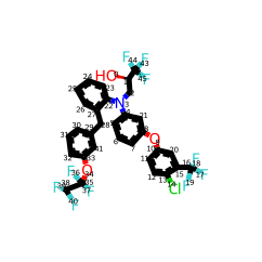 O[C@H](CN(c1cccc(Oc2ccc(Cl)c(C(F)(F)F)c2)c1)c1ccccc1Cc1cccc(OC(F)(F)C(F)F)c1)C(F)(F)F